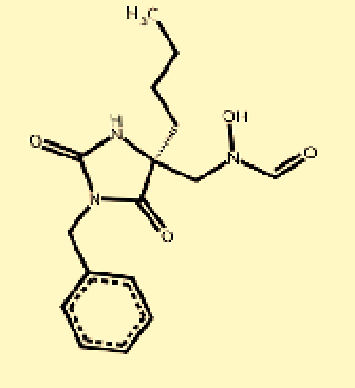 CCCC[C@@]1(CN(O)C=O)NC(=O)N(Cc2ccccc2)C1=O